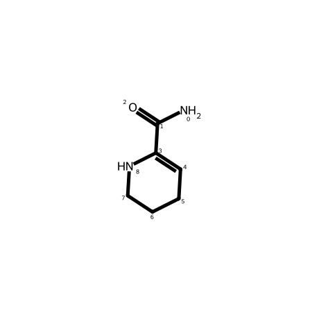 NC(=O)C1=CCCCN1